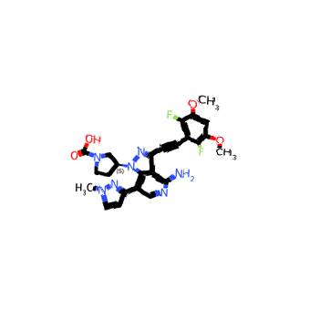 COc1cc(OC)c(F)c(C#Cc2nn([C@H]3CCN(C(=O)O)C3)c3c(-c4ccn(C)n4)cnc(N)c23)c1F